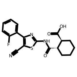 N#Cc1sc(NC(=O)[C@H]2CCCC[C@@H]2C(=O)O)nc1-c1ccccc1F